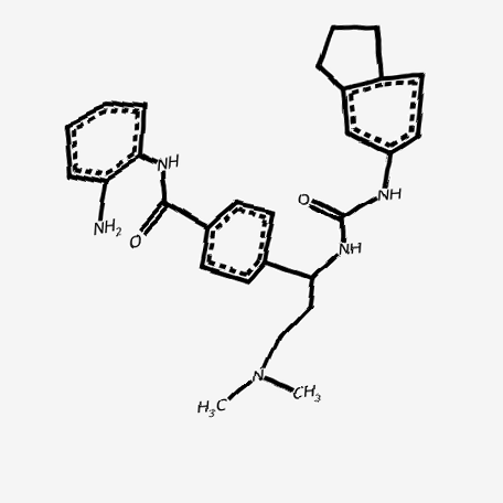 CN(C)CCC(NC(=O)Nc1ccc2c(c1)CCC2)c1ccc(C(=O)Nc2ccccc2N)cc1